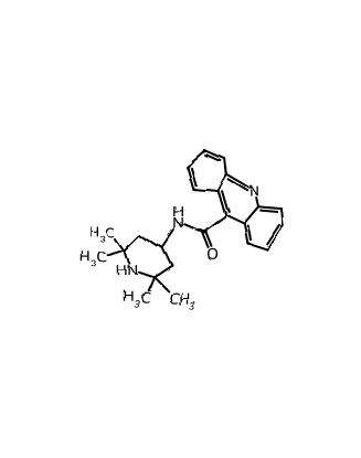 CC1(C)CC(NC(=O)c2c3ccccc3nc3ccccc23)CC(C)(C)N1